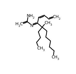 C=C/C=C\C(=N/C(=C)N)C(C)(CCCC)CCCCCC